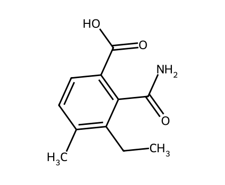 CCc1c(C)ccc(C(=O)O)c1C(N)=O